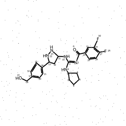 O=C(/N=C(/NC1CCCC1)NC1CC(c2ccc(CO)cc2)NN1)c1ccc(F)c(F)c1